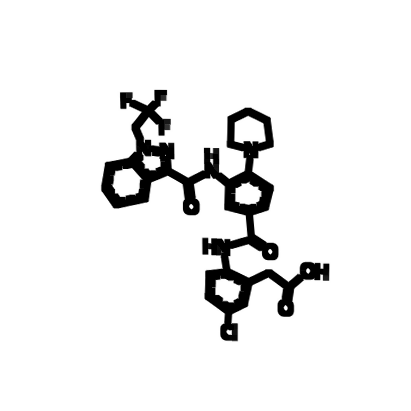 O=C(O)Cc1cc(Cl)ccc1NC(=O)c1ccc(N2CCCCC2)c(NC(=O)c2nn(CC(F)(F)F)c3ccccc23)c1